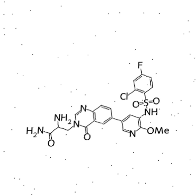 COc1ncc(-c2ccc3ncn(CC(N)C(N)=O)c(=O)c3c2)cc1NS(=O)(=O)c1ccc(F)cc1Cl